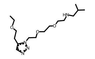 CCOCCc1cnnn1CCOCCOCCNCC(C)C